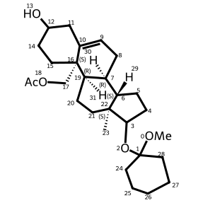 COC1(OC2CC[C@H]3[C@@H]4CC=C5CC(O)CC[C@]5(COC(C)=O)[C@@H]4CC[C@]23C)CCCCC1